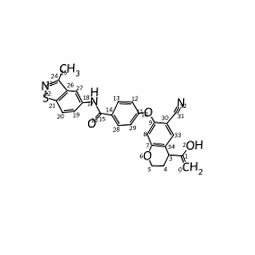 C=C(O)C1CCOc2cc(Oc3ccc(C(=O)Nc4ccc5snc(C)c5c4)cc3)c(C#N)cc21